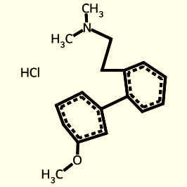 COc1cccc(-c2ccccc2CCN(C)C)c1.Cl